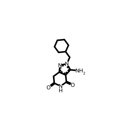 Nc1c2c(nn1CC1CCCCC1)CC(=O)NC2=O